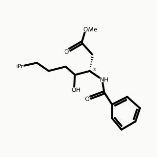 COC(=O)C[C@H](NC(=O)c1ccccc1)C(O)CCCC(C)C